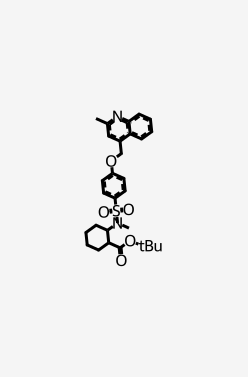 Cc1cc(COc2ccc(S(=O)(=O)N(C)C3CCCCC3C(=O)OC(C)(C)C)cc2)c2ccccc2n1